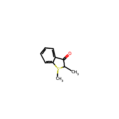 CC1C(=O)c2ccccc2[S+]1C